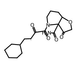 NC(=O)C12C(=O)COC1CCCN2C(=O)C(=O)[CH]CC1CCCCC1